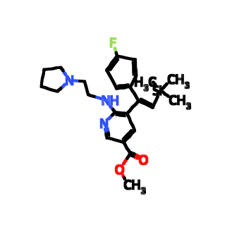 COC(=O)c1cnc(NCCN2CCCC2)c(/C(=C/[Si](C)(C)C)c2ccc(F)cc2)c1